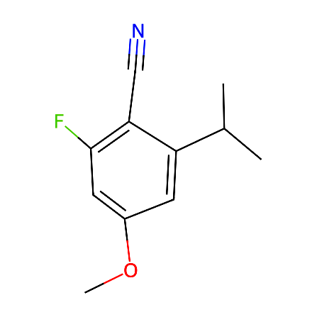 COc1cc(F)c(C#N)c(C(C)C)c1